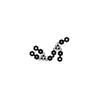 c1cc(Oc2nc(Oc3ccc(C4CCCCC4)cc3)nc(Oc3ccc(C4CCCCC4)cc3)n2)ccc1Cc1ccc(Oc2nc(Oc3ccc(C4CCCCC4)cc3)nc(Oc3ccc(C4CCCCC4)cc3)n2)cc1